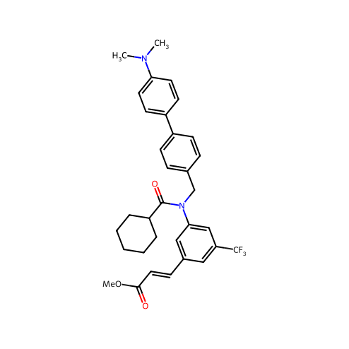 COC(=O)/C=C/c1cc(N(Cc2ccc(-c3ccc(N(C)C)cc3)cc2)C(=O)C2CCCCC2)cc(C(F)(F)F)c1